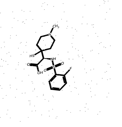 CN1CCC(S)([C@@H](NS(=O)(=O)c2ccccc2F)C(=O)O)CC1